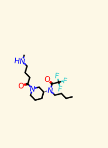 CCCCN(C(=O)C(F)(F)F)[C@@H]1CCCN(C(=O)CCCNC)C1